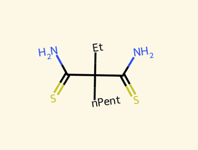 CCCCCC(CC)(C(N)=S)C(N)=S